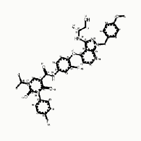 COc1ccc(Cn2nc(N[C@H](C)CO)c3c(Oc4ccc(NC(=O)c5cn(C(C)C)c(=O)n(-c6ccc(F)cc6)c5=O)cc4F)ccnc32)cc1